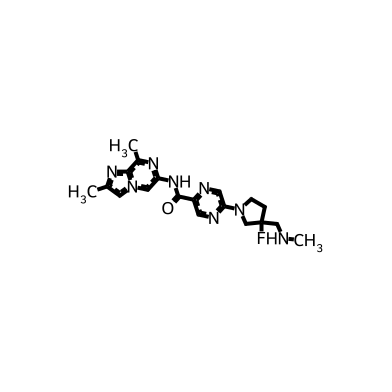 CNCC1(F)CCN(c2cnc(C(=O)Nc3cn4cc(C)nc4c(C)n3)cn2)C1